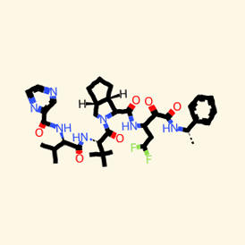 CC(C)[C@@H](NC(=O)c1cnccn1)C(=O)N[C@H](C(=O)N1C[C@@H]2CCC[C@@H]2C1C(=O)NC(CC(F)F)C(=O)C(=O)N[C@@H](C)c1ccccc1)C(C)(C)C